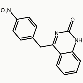 O=c1nc(Cc2ccc([N+](=O)[O-])cc2)c2ccccc2[nH]1